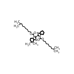 Cc1ccc2c(nc(-c3nc4ccccc4n3C(=O)OCCCCCCCC(C)C)n2C(=O)OCCCCCCCC(C)C)c1C